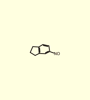 O=Nc1ccc2c(c1)CCC2